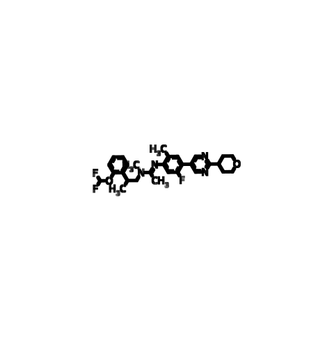 C/C(=N\c1cc(F)c(-c2cnc(C3CCOCC3)nc2)cc1C)N(C)CC(C)c1ccccc1OC(F)F